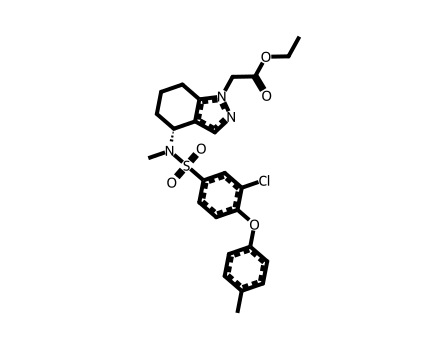 CCOC(=O)Cn1ncc2c1CCC[C@H]2N(C)S(=O)(=O)c1ccc(Oc2ccc(C)cc2)c(Cl)c1